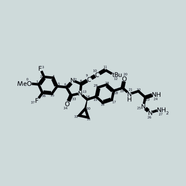 COc1c(F)cc(C2=NC(=C=C=CC(C)(C)C)N([C@@H](c3ccc(C(=O)NCC(=N)/N=N\N)cc3)C3CC3)C2=O)cc1F